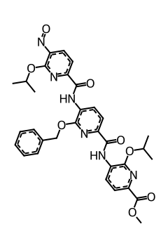 COC(=O)c1ccc(NC(=O)c2ccc(NC(=O)c3ccc(N=O)c(OC(C)C)n3)c(OCc3ccccc3)n2)c(OC(C)C)n1